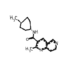 Cc1nc2ccncc2cc1C(=O)N[C@H]1CC[C@H](C)CC1